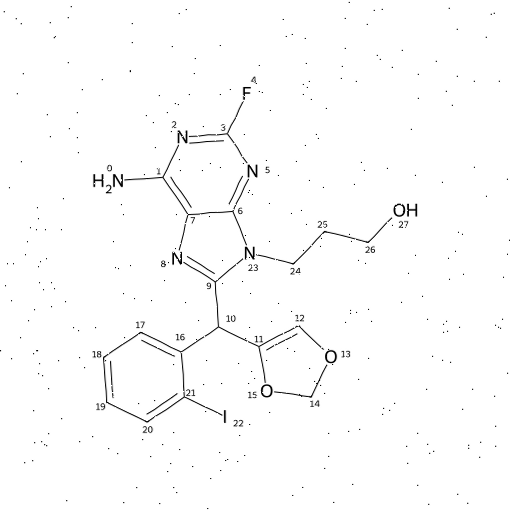 Nc1nc(F)nc2c1nc(C(C1=COCO1)c1ccccc1I)n2CCCO